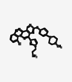 CN1CCN(c2ccc(Sc3ncc4c(=O)n(-c5c(Cl)cccc5Cl)nc(-c5ccn(CCN)n5)c4n3)cc2)CC1